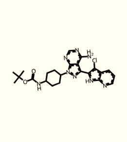 CC(C)(C)OC(=O)NC1CCC(n2nc(-c3[nH]c4ncccc4c3Cl)c3c(N)ncnc32)CC1